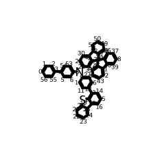 c1ccc(-c2ccc(N(c3ccc(-c4cccc5c4sc4ccccc45)cc3)c3ccc4c(c3)C3(c5ccccc5-c5ccccc53)c3ccccc3-4)cc2)cc1